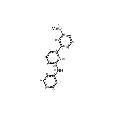 COc1cccc(-c2cccc(Nc3ccccc3)n2)c1